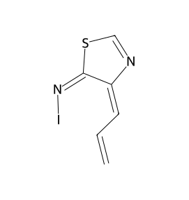 C=C/C=C1/N=CS/C1=N/I